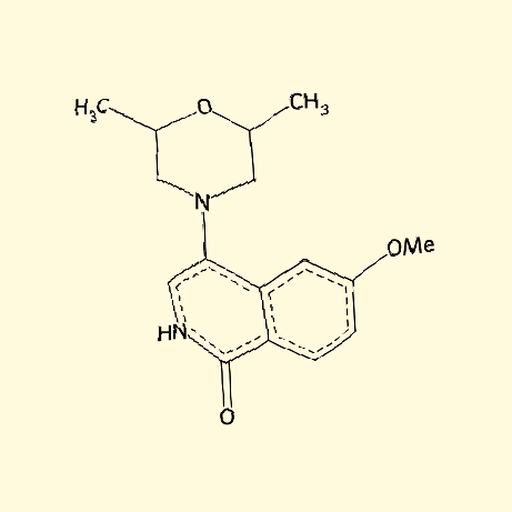 COc1ccc2c(=O)[nH]cc(N3CC(C)OC(C)C3)c2c1